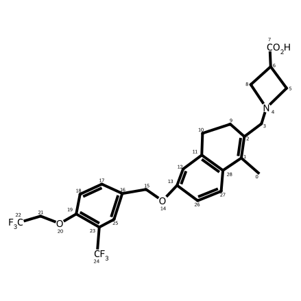 CC1=C(CN2CC(C(=O)O)C2)CCc2cc(OCc3ccc(OCC(F)(F)F)c(C(F)(F)F)c3)ccc21